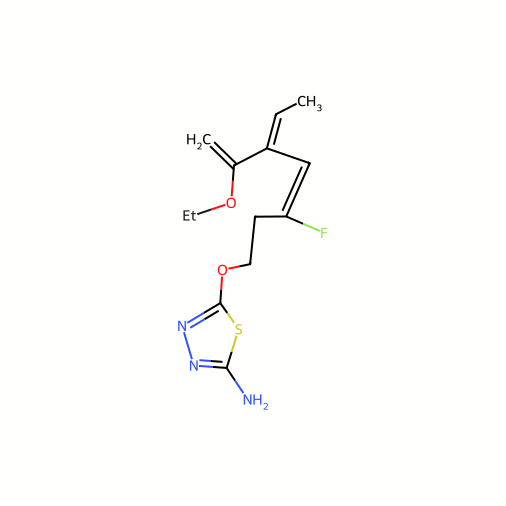 C=C(OCC)C(/C=C(/F)CCOc1nnc(N)s1)=C/C